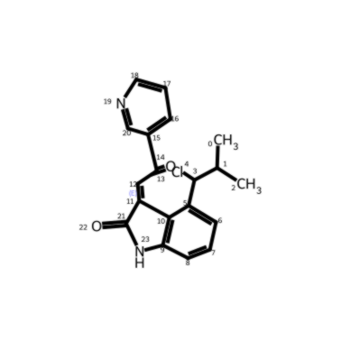 CC(C)C(Cl)c1cccc2c1/C(=C\C(=O)c1cccnc1)C(=O)N2